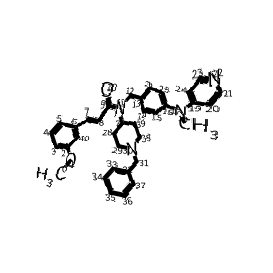 COc1cccc(/C=C/C(=O)N(Cc2ccc(N(C)c3ccncc3)cc2)C2CCN(Cc3ccccc3)CC2)c1